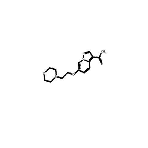 CC(=O)c1cnn2cc(OCCN3CCOCC3)ccc12